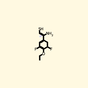 CCOC1=C(F)C=C(/C(N)=C/S)CC1F